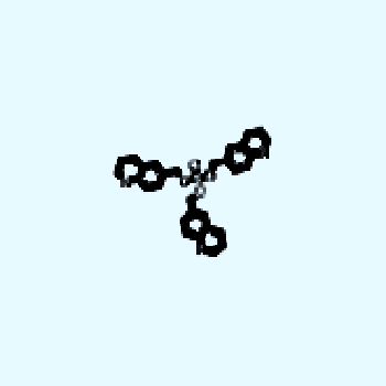 O=P(OCc1ccc2ncccc2c1)(OCc1ccc2ncccc2c1)OCc1ccc2ncccc2c1